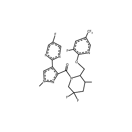 CC1CC(F)(F)CN(C(=O)c2nn(C)cc2-c2ncc(F)cn2)C1COc1ncc(C(F)(F)F)cc1F